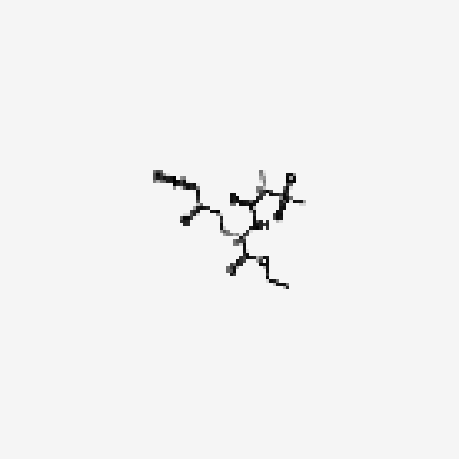 CCOC(=O)[C@H](CCC(=O)C=[N+]=[N-])NC(=O)[C@H](C)S(C)(=O)=O